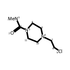 CNC(=O)N1CCN(CCCl)CC1